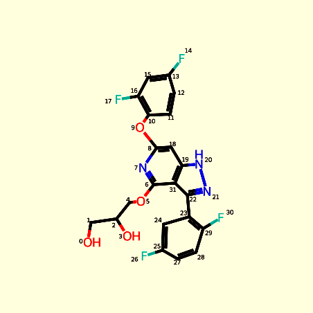 OCC(O)COc1nc(Oc2ccc(F)cc2F)cc2[nH]nc(-c3cc(F)ccc3F)c12